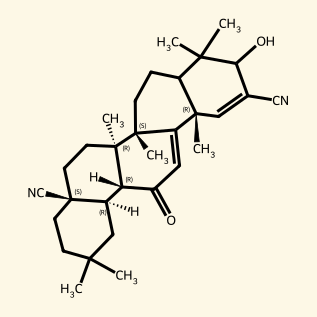 CC1(C)CC[C@]2(C#N)CC[C@]3(C)[C@H](C(=O)C=C4[C@@]5(C)C=C(C#N)C(O)C(C)(C)C5CC[C@]43C)[C@H]2C1